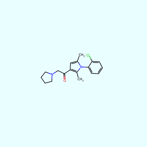 Cc1cc(C(=O)CN2CCCC2)c(C)n1-c1ccccc1Cl